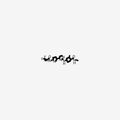 CCNC(=O)c1ccc(Nc2nccc(-c3ccc(NC(=O)C4CC4(F)F)nc3)n2)cc1C